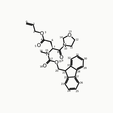 C=CCOC(=O)C[C@@H](C(=O)N1CCOC1)N(C)C(=O)OCC1c2ccccc2-c2ccccc21